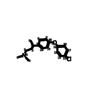 CC(CCN(C)C)c1ccc(Oc2ccc(Cl)cc2)cc1